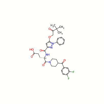 CC(C)(C)C(=O)COc1cc(C(=O)N[C@@H](CCC(=O)O)C(=O)N2CCC(C(=O)c3ccc(F)c(F)c3)CC2)nn1-c1ccccc1